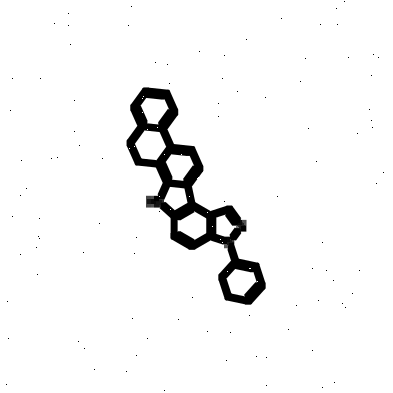 C1=CCCC(n2ncc3c4c(ccc32)[nH]c2c3c(ccc24)-c2ccccc2CC3)=C1